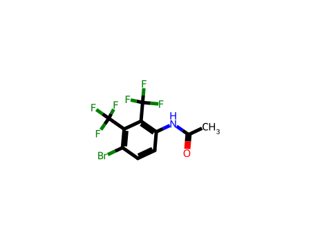 CC(=O)Nc1ccc(Br)c(C(F)(F)F)c1C(F)(F)F